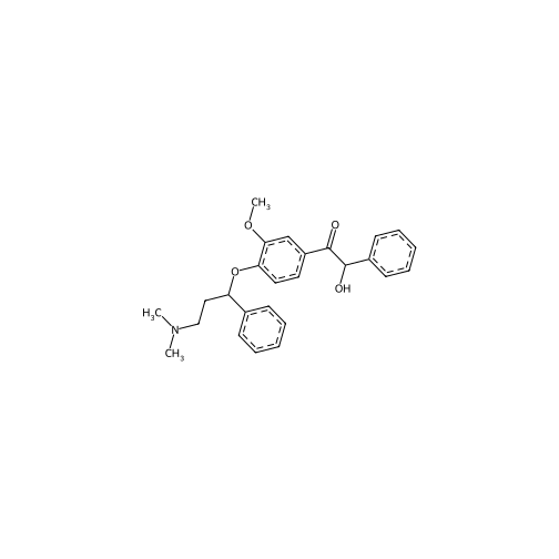 COc1cc(C(=O)C(O)c2ccccc2)ccc1OC(CCN(C)C)c1ccccc1